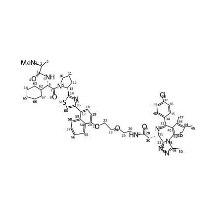 CN[C@@H](C)C(=O)N[C@H](C(=O)N1CCC[C@H]1c1nc(-c2ccc(OCCOCCNC(=O)C[C@@H]3N=C(c4ccc(Cl)cc4)c4c(sc(C)c4C)-n4c(C)nnc43)c3ccccc23)cs1)C1CCCCC1